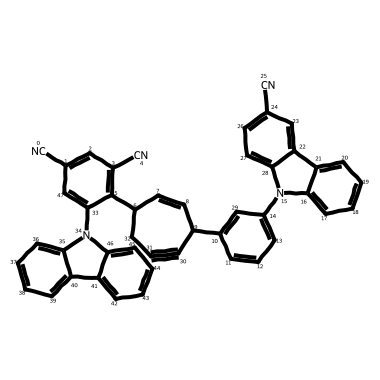 N#Cc1cc(C#N)c(C2C=CC(c3cccc(-n4c5ccccc5c5cc(C#N)ccc54)c3)C#CC2)c(-n2c3ccccc3c3ccccc32)c1